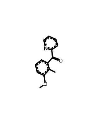 COc1cccc(C(=O)c2ccccn2)c1C